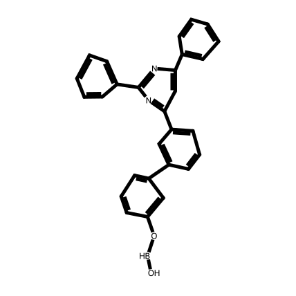 OBOc1cccc(-c2cccc(-c3cc(-c4ccccc4)nc(-c4ccccc4)n3)c2)c1